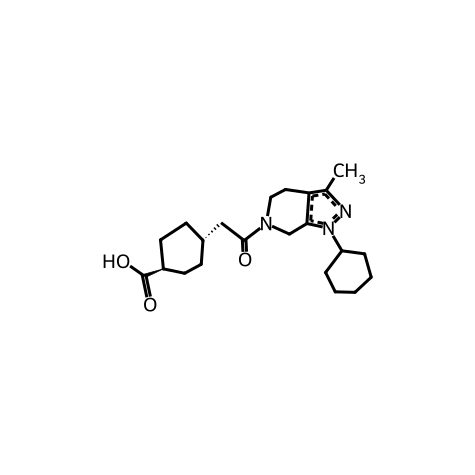 Cc1nn(C2CCCCC2)c2c1CCN(C(=O)C[C@H]1CC[C@H](C(=O)O)CC1)C2